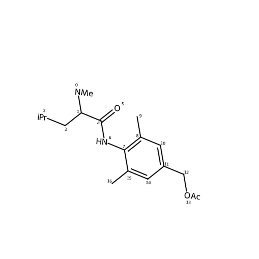 CNC(CC(C)C)C(=O)Nc1c(C)cc(COC(C)=O)cc1C